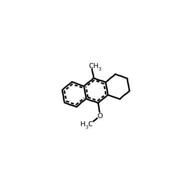 COc1c2c(c(C)c3ccccc13)CCCC2